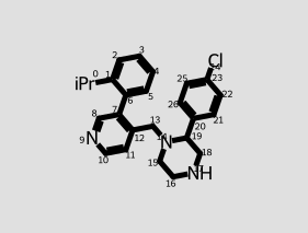 CC(C)c1ccccc1-c1cnccc1CN1CCNCC1c1ccc(Cl)cc1